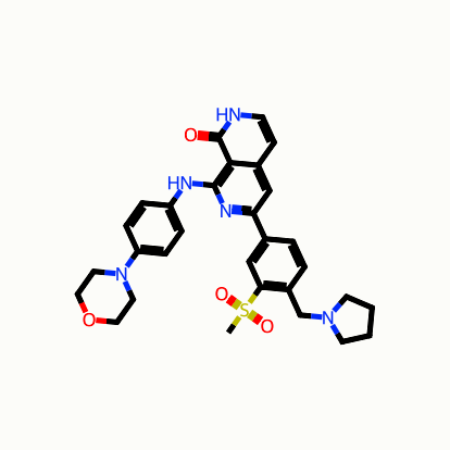 CS(=O)(=O)c1cc(-c2cc3cc[nH]c(=O)c3c(Nc3ccc(N4CCOCC4)cc3)n2)ccc1CN1CCCC1